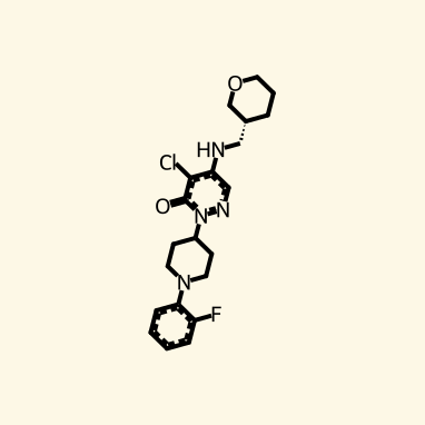 O=c1c(Cl)c(NC[C@H]2CCCOC2)cnn1C1CCN(c2ccccc2F)CC1